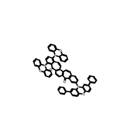 O=c1c2cc(N3c4cc(-c5ccccc5)ccc4Oc4ccc(-c5ccccc5)cc43)ccc2ccc2c1ccc1c(=O)c3c(N4c5ccccc5Oc5ccccc54)ccc(N4c5ccccc5Oc5ccccc54)c3ccc12